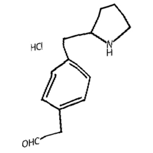 Cl.O=CCc1ccc(CC2CCCN2)cc1